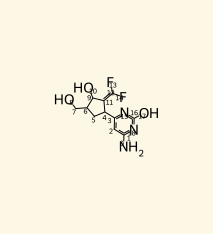 Nc1cc(C2CC(CO)C(O)C2=C(F)F)nc(O)n1